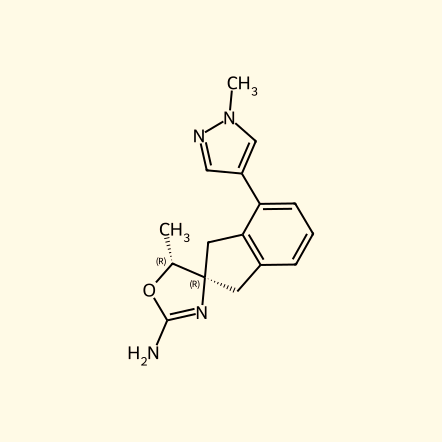 C[C@H]1OC(N)=N[C@@]12Cc1cccc(-c3cnn(C)c3)c1C2